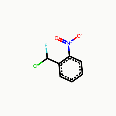 O=[N+]([O-])c1ccccc1C(F)Cl